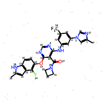 Cc1cn(-c2cc(Nc3ncnc(Oc4ccc5[nH]c(C)cc5c4F)c3C(=O)N3CCC3)cc(C(F)(F)F)c2)cn1